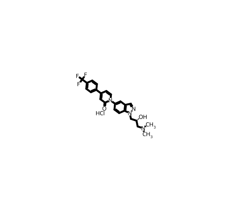 CN(C)C[C@@H](O)Cn1ncc2cc(-n3ccc(-c4ccc(C(F)(F)F)cc4)cc3=O)ccc21.Cl